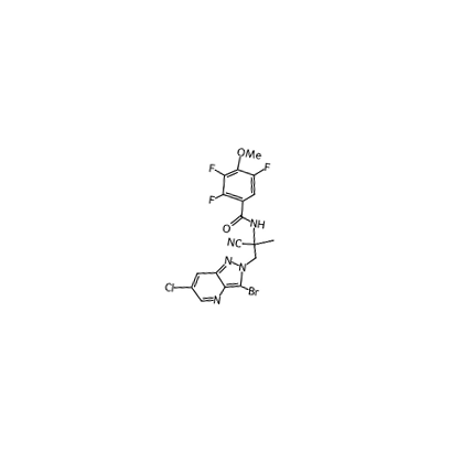 COc1c(F)cc(C(=O)NC(C)(C#N)Cn2nc3cc(Cl)cnc3c2Br)c(F)c1F